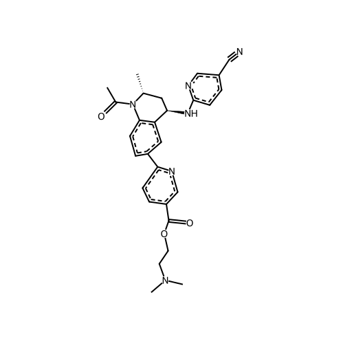 CC(=O)N1c2ccc(-c3ccc(C(=O)OCCN(C)C)cn3)cc2[C@H](Nc2ccc(C#N)cn2)C[C@H]1C